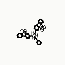 O=S1(=O)c2ccccc2-c2ccc(-c3nc(-c4ccccc4)nc(-c4ccc5c(c4)S(=O)(=O)c4ccccc4-5)n3)cc21